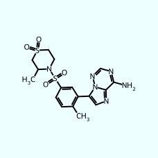 Cc1ccc(S(=O)(=O)N2CCS(=O)(=O)CC2C)cc1-c1cnc2c(N)ncnn12